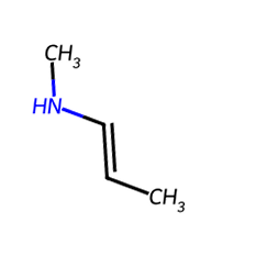 CC=CNC